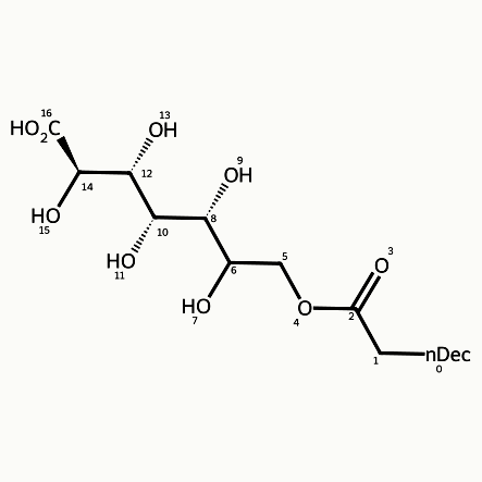 CCCCCCCCCCCC(=O)OCC(O)[C@@H](O)[C@H](O)[C@@H](O)[C@@H](O)C(=O)O